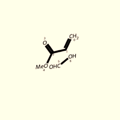 C=CC(=O)OC.O=CO